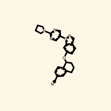 N#Cc1ccc2c(c1)CCCC2Oc1ccc2cnn(-c3cnc(N4CCCC4)nc3)c2c1